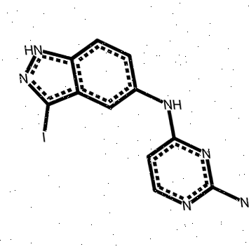 Nc1nccc(Nc2ccc3[nH]nc(I)c3c2)n1